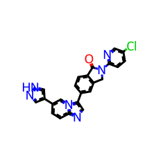 O=C1c2ccc(-c3cnc4ccc(-c5cn[nH]c5)cn34)cc2CN1c1ccc(Cl)cn1